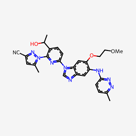 COCCOc1cc2c(cc1Nc1ccc(C)nn1)ncn2-c1ccc(C(C)O)c(-n2nc(C#N)cc2C)n1